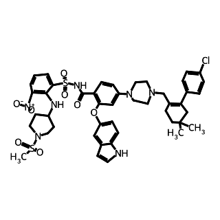 CC1(C)CCC(CN2CCN(c3ccc(C(=O)NS(=O)(=O)c4cccc([N+](=O)[O-])c4NC4CCN(S(C)(=O)=O)CC4)c(Oc4ccc5[nH]ccc5c4)c3)CC2)=C(c2ccc(Cl)cc2)C1